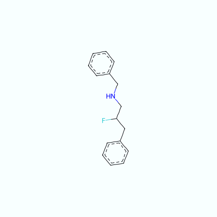 FC(CNCc1ccccc1)Cc1ccccc1